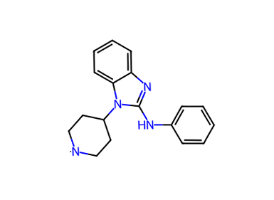 c1ccc(Nc2nc3ccccc3n2C2CC[N]CC2)cc1